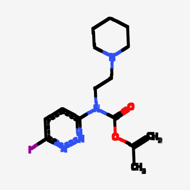 C=C(C)OC(=O)N(CCN1CCCCC1)c1ccc(I)nn1